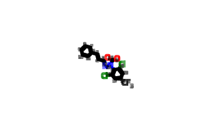 O=c1oc(C=Cc2ccccc2)nn1-c1c(Cl)cc(C(F)(F)F)cc1Cl